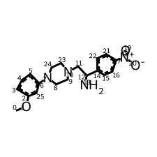 COc1cccc(N2CCN(CC(N)c3ccc([N+](=O)[O-])cc3)CC2)c1